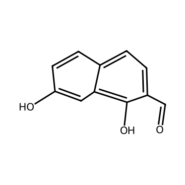 O=Cc1ccc2ccc(O)cc2c1O